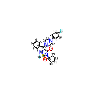 O=C1[C@@H]([C@H](c2ccccc2)N2CCN(c3ccc(F)cc3)CC2)N=S(=O)(F)N1C1CCCCC1